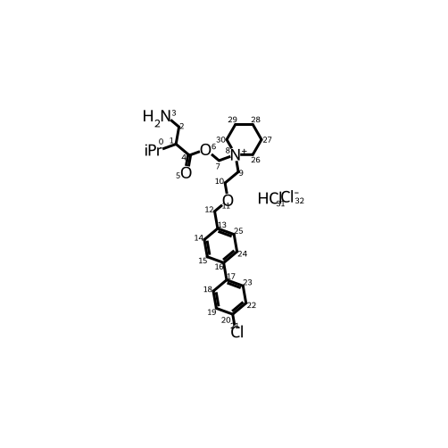 CC(C)C(CN)C(=O)OC[N+]1(CCOCc2ccc(-c3ccc(Cl)cc3)cc2)CCCCC1.Cl.[Cl-]